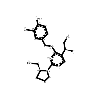 CC[C@H](CO)c1cnc(N2CCC[C@H]2CO)nc1NCc1ccc(OC)c(Cl)c1